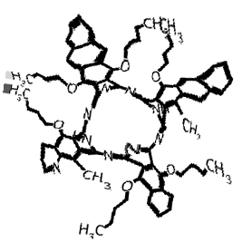 CCCCOc1c2c(c(OCCCC)c3ccccc13)-c1nc-2nc2[nH]c(nc3nc(nc4[nH]c(n1)c1c(C)c5ncccc5c(OCCCC)c41)-c1c-3c(OCCCC)c3cc4ccccc4cc3c1OCCCC)c1c(OCCCC)c3cc4ccccc4cc3c(C)c21